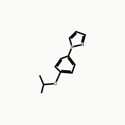 CC(C)Oc1ccc(-n2cccn2)cc1